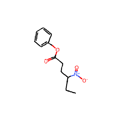 CCC(CCC(=O)Oc1ccccc1)[N+](=O)[O-]